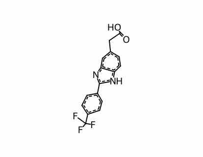 O=C(O)Cc1ccc2[nH]c(-c3ccc(C(F)(F)F)cc3)nc2c1